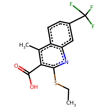 CCSc1nc2cc(C(F)(F)F)ccc2c(C)c1C(=O)O